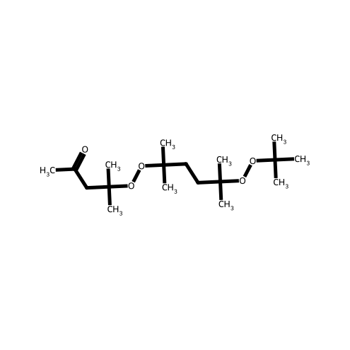 CC(=O)CC(C)(C)OOC(C)(C)CCC(C)(C)OOC(C)(C)C